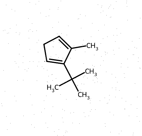 CC1=CC[C]=C1C(C)(C)C